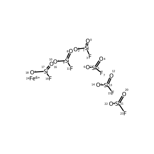 O=[Si]([O-])F.O=[Si]([O-])F.O=[Si]([O-])F.O=[Si]([O-])F.O=[Si]([O-])F.O=[Si]([O-])F.[Fe+6]